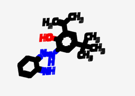 C=C(C)c1cc(C(C)(C)C)cc(N/N=C2/C=CC=CC2=N)c1O